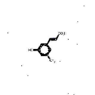 Cc1cc(O)cc(/C=C/C(=O)O)c1